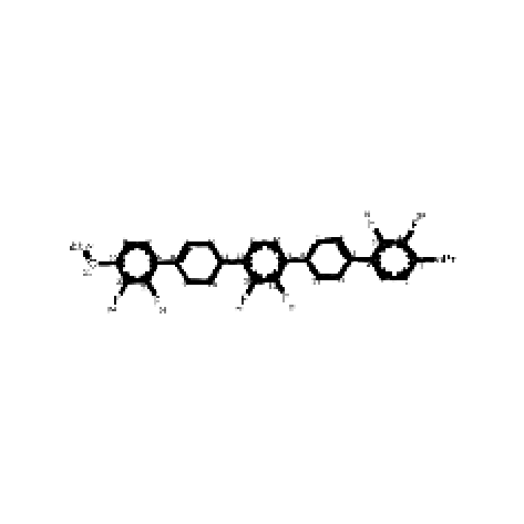 CCCc1ccc(C2=CCC(c3ccc(C4CC=C(c5ccc(OCC)c(F)c5F)CC4)c(F)c3F)CC2)c(F)c1F